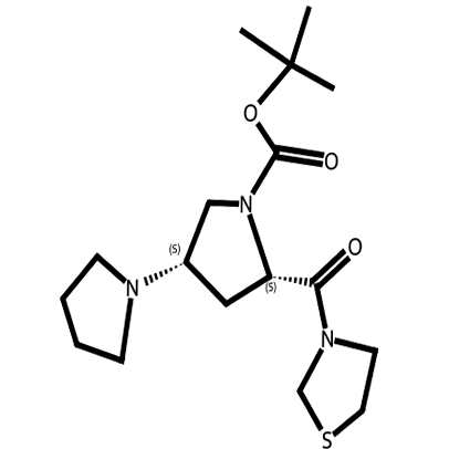 CC(C)(C)OC(=O)N1C[C@@H](N2CCCC2)C[C@H]1C(=O)N1CCSC1